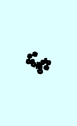 c1ccc(-c2cccc(-c3cccc4c3oc3cc(-c5nc(-c6ccccc6)nc(-c6ccc7sc8cccc(-c9ccccc9)c8c7c6)n5)ccc34)c2)cc1